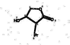 CC(C)C1C(=O)OCC1O